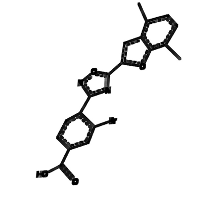 Cc1ccc(C)c2oc(-c3nc(-c4ccc(C(=O)O)cc4Br)no3)cc12